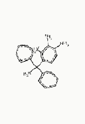 Nc1ccc(C(N)(c2ccccc2)c2ccccc2)c(N)c1N